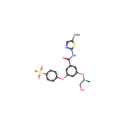 COc1cnc(NC(=O)c2cc(Oc3ccc(S(C)(=O)=O)cc3)cc(O[C@@H](C)CO)c2)s1